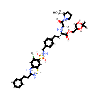 C[C@H](N[C@@H](CCc1ccc(CNS(=O)(=O)c2cc3c(cc2Cl)NC(CCc2ccccc2)NS3)cc1)C(=O)OCC1COC(C)(C)O1)C(=O)N1CCC[C@H]1C(=O)O